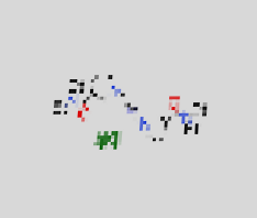 CCN(CC)C(=O)C1CCCN(C/C=C/CN2CCCC(C(=O)N(CC)CC)C2)C1.Cl.Cl